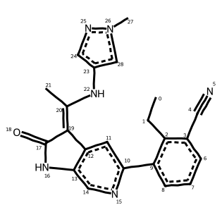 CCc1c(C#N)cccc1-c1cc2c(cn1)NC(=O)C2=C(C)Nc1cnn(C)c1